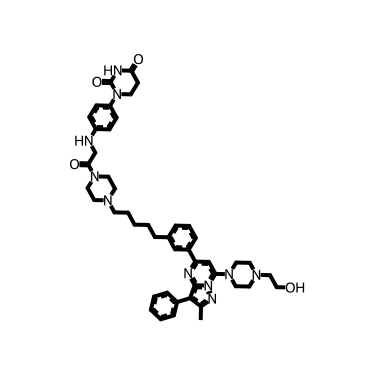 Cc1nn2c(N3CCN(CCO)CC3)cc(-c3cccc(CCCCCN4CCN(C(=O)CNc5ccc(N6CCC(=O)NC6=O)cc5)CC4)c3)nc2c1-c1ccccc1